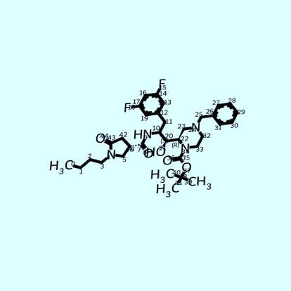 CCCCN1C[C@@H](C(=O)NC(Cc2cc(F)cc(F)c2)[C@H](O)[C@H]2CN(Cc3ccccc3)CCN2C(=O)OC(C)(C)C)CC1=O